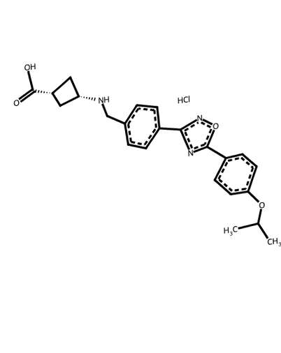 CC(C)Oc1ccc(-c2nc(-c3ccc(CN[C@H]4C[C@@H](C(=O)O)C4)cc3)no2)cc1.Cl